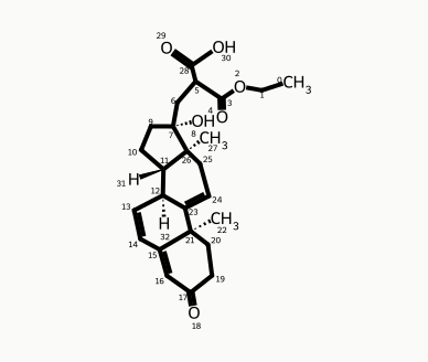 CCOC(=O)C(C[C@]1(O)CC[C@H]2[C@@H]3C=CC4=CC(=O)CC[C@]4(C)C3=CC[C@@]21C)C(=O)O